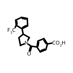 O=C(O)c1ccc(C(=O)N2CCC(c3ccccc3C(F)(F)F)C2)cc1